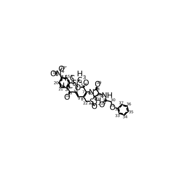 C[Si](C)(C)OC(=O)C1=C(C=CC(=O)c2ccc([N+](=O)[O-])cc2)C[S+]([O-])[C@H]2C(NC(=O)COc3ccccc3)C(=O)N12